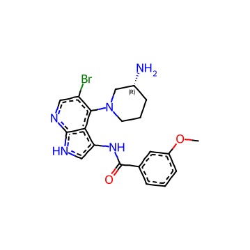 COc1cccc(C(=O)Nc2c[nH]c3ncc(Br)c(N4CCC[C@@H](N)C4)c23)c1